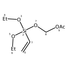 C=C[Si](OCC)(OCC)OCOC(C)=O